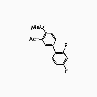 COc1ccc(-c2ccc(F)cc2F)cc1C(C)=O